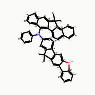 CC1(C)c2cc(N(c3ccccc3)c3c4c(cc5ccccc35)C(C)(C)c3c-4ccc4ccccc34)ccc2-c2cc3oc4ccccc4c3cc21